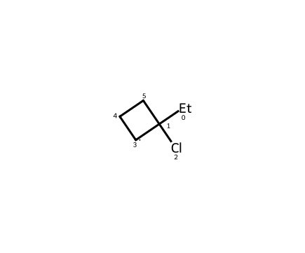 CCC1(Cl)[CH]CC1